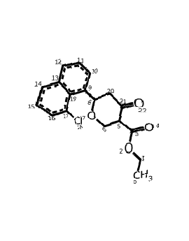 CCOC(=O)C1COC(c2cccc3cccc(Cl)c23)CC1=O